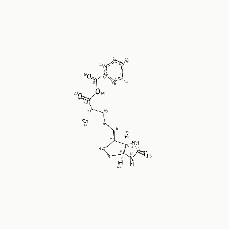 O=C1N[C@H]2[C@H](CS[C@H]2CCCCC(=O)OC(=O)c2ccccn2)N1.[Cr]